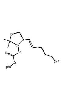 CC(C)(C)OC(=O)ON1[C@H](C=CCCCO)COC1(C)C